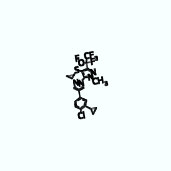 Cn1nc(C(F)(OF)C(F)(F)F)c(SC2CC2)c1-n1cc(-c2ccc(Cl)c(C3CC3)c2)cn1